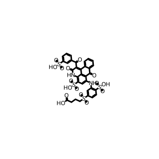 O=C(O)CCCS(=O)(=O)c1ccc(S(=O)(=O)O)c(Nc2cc(S(=O)(=O)O)c3[nH]c(=O)c(C(=O)c4cccc(S(=O)(=O)O)c4)c4c3c2C(=O)c2ccccc2-4)c1